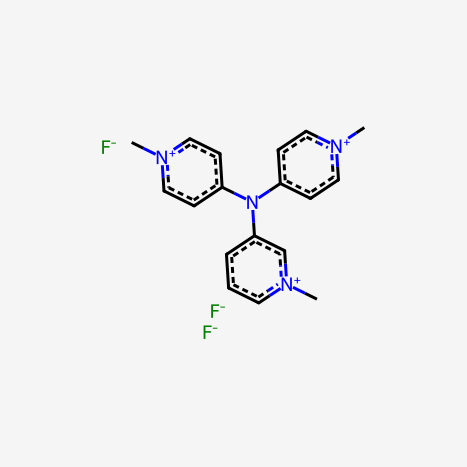 C[n+]1ccc(N(c2cc[n+](C)cc2)c2ccc[n+](C)c2)cc1.[F-].[F-].[F-]